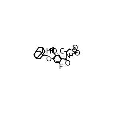 O=C(O)C1CS(=O)(=O)CN1C(=O)c1cc(C2CC2)c(OCC23CC4CC(CC(C4)C2)C3)cc1F